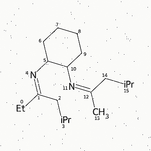 CC/C(CC(C)C)=N/C1CCCCC1/N=C(/C)CC(C)C